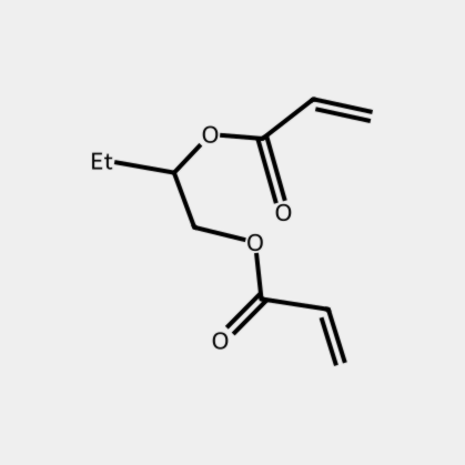 C=CC(=O)OCC(CC)OC(=O)C=C